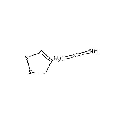 C1=CSSC1.C=C=N